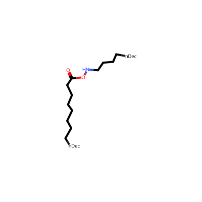 CCCCCCCCCCCCCCCCCC(=O)ONCCCCCCCCCCCCCC